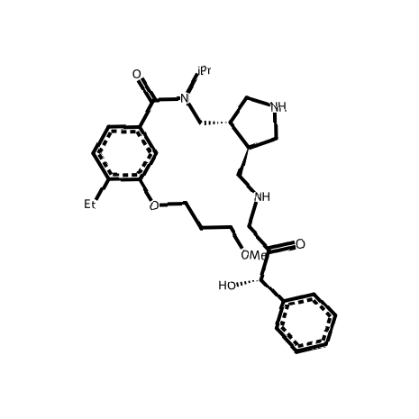 CCc1ccc(C(=O)N(C[C@@H]2CNC[C@H]2CNCC(=O)[C@@H](O)c2ccccc2)C(C)C)cc1OCCCOC